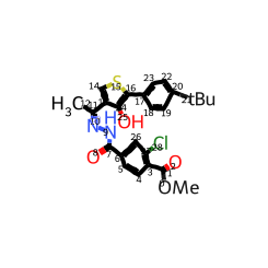 COC(=O)c1ccc(C(=O)N/N=C(/C)c2csc(-c3ccc(C(C)(C)C)cc3)c2O)cc1Cl